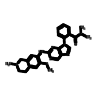 COc1cc2c(cc1Nc1ncc3ncn(-c4ccccc4C(=O)N(C)C)c3n1)CN(C)CC2